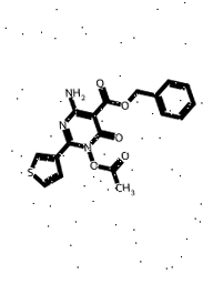 CC(=O)On1c(-c2ccsc2)nc(N)c(C(=O)OCc2ccccc2)c1=O